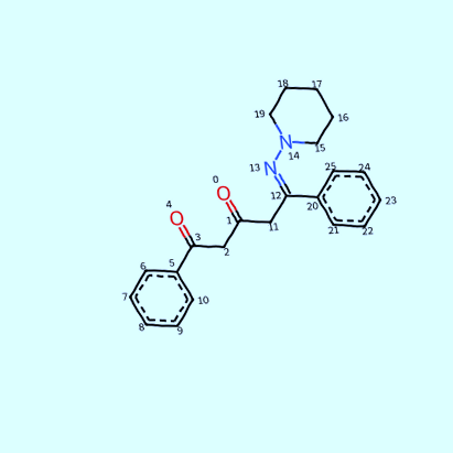 O=C(CC(=O)c1ccccc1)CC(=NN1CCCCC1)c1ccccc1